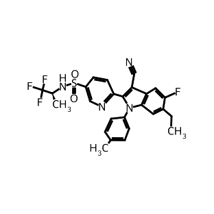 CCc1cc2c(cc1F)c(C#N)c(-c1ccc(S(=O)(=O)N[C@@H](C)C(F)(F)F)cn1)n2-c1ccc(C)cc1